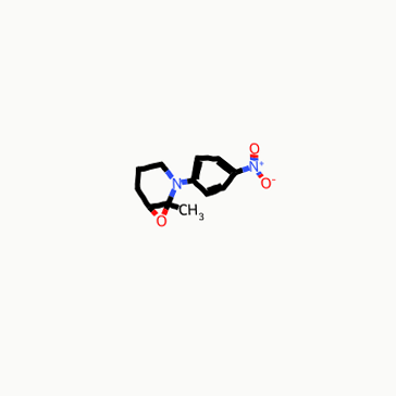 CC12OC1CCCN2c1ccc([N+](=O)[O-])cc1